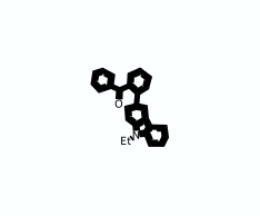 CCn1c2ccccc2c2cc(-c3ccccc3C(=O)c3ccccc3)ccc21